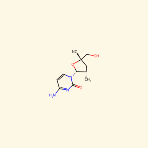 C[C@H]1C[C@@](C#N)(CO)O[C@H]1n1ccc(N)nc1=O